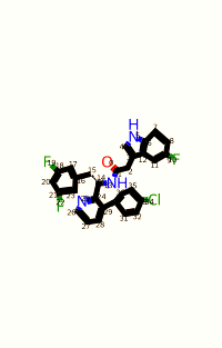 O=C(Cc1c[nH]c2ccc(F)cc12)N[C@@H](Cc1cc(F)cc(F)c1)c1ncccc1-c1ccc(Cl)cc1